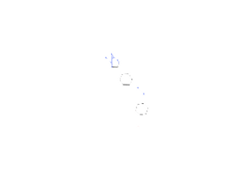 c1cc(-c2cn[nH]c2)ccc1CN1CCCC1c1ccc2c(c1)OCCO2